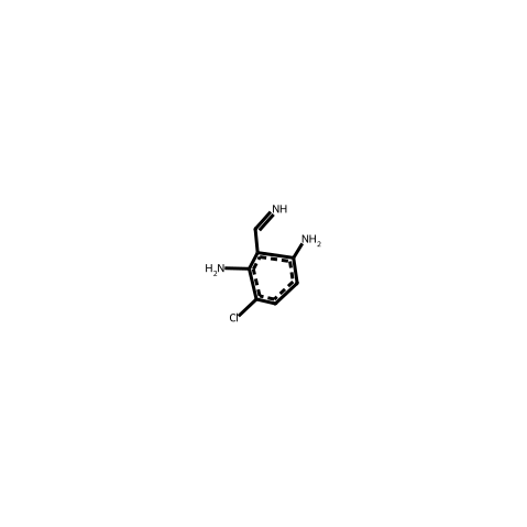 N=Cc1c(N)ccc(Cl)c1N